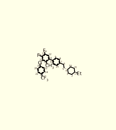 CC[C@H]1CC[C@H](CCc2ccc(-c3cc(F)c(F)c(Oc4ccc(C(F)(F)F)cc4)c3C)cc2)CC1